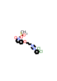 CSC(=O)OCn1c(=O)ccc2ccc(OCCCCN3CCN(c4cccc(Cl)c4Cl)CC3)cc21